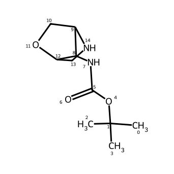 CC(C)(C)OC(=O)NC1C2COC1CN2